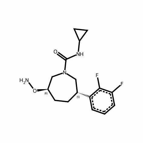 NO[C@@H]1CC[C@@H](c2cccc(F)c2F)CN(C(=O)NC2CC2)C1